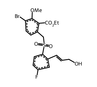 CCOC(=O)c1c(CS(=O)(=O)c2ccc(F)cc2C=CCO)ccc(Br)c1OC